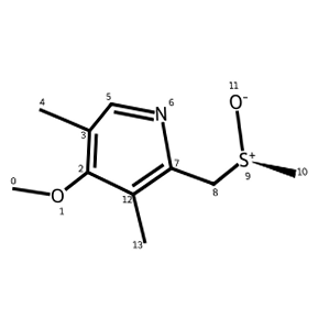 COc1c(C)cnc(C[S@+](C)[O-])c1C